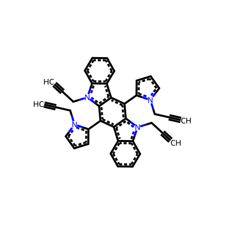 C#CCn1cccc1-c1c2c3ccccc3n(CC#C)c2c(-c2cccn2CC#C)c2c3ccccc3n(CC#C)c12